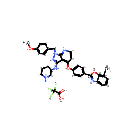 COc1ccc(Cn2nc(N[C@@H]3CCCNC3)c3c(Oc4ccc(-c5nc6cccc(C)c6o5)cc4)ccnc32)cc1.O=C(O)C(F)(F)F